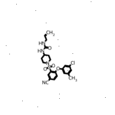 C=CCNC(=O)NC1CCN(S(=O)(=O)c2cc(C#N)ccc2Oc2cc(C)cc(Cl)c2)CC1